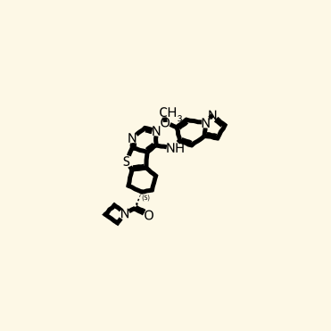 COc1cn2nccc2cc1Nc1ncnc2sc3c(c12)CC[C@H](C(=O)N1CCC1)C3